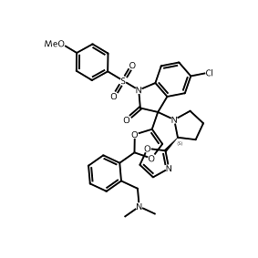 COc1ccc(S(=O)(=O)N2C(=O)C(C3=COC(c4ccccc4CN(C)C)O3)(N3CCC[C@H]3c3ncco3)c3cc(Cl)ccc32)cc1